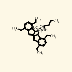 CCCC[SiH]=[Hf]([CH3])([CH3])([CH]1C=Cc2c(CC)ccc(CC)c21)[CH]1C=Cc2c(CC)ccc(CC)c21